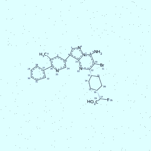 Cc1cc(-c2cnn3c(N)c(Br)c([C@H]4CC[C@@H](C(F)C(=O)O)CC4)nc23)cnc1-c1ccccc1